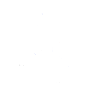 COCCNC(=O)c1cc(CN2CCN(C)CC2C)ccc1NC(=O)c1csc(N2CC[C@H](OC)C2)n1